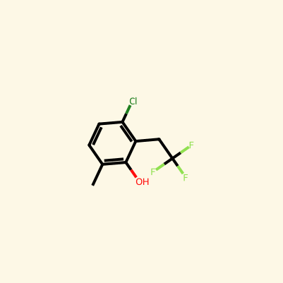 Cc1ccc(Cl)c(CC(F)(F)F)c1O